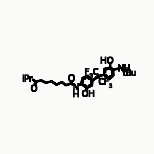 CC(C)C(=O)CCCCCCC(=O)Nc1ccc(C(c2ccc(NC(C)(C)C)c(O)c2)(C(F)(F)F)C(F)(F)F)cc1O